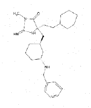 CN1C(=N)N[C@](CCC2CCCCC2)(C[C@@H]2CCC[C@@H](NCc3ccccc3)C2)C1=O